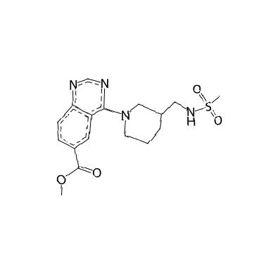 COC(=O)c1ccc2ncnc(N3CCCC(CNS(C)(=O)=O)C3)c2c1